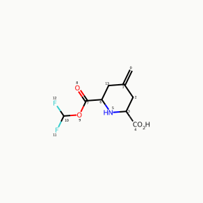 C=C1CC(C(=O)O)NC(C(=O)OC(F)F)C1